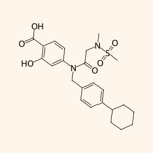 CN(CC(=O)N(Cc1ccc(C2CCCCC2)cc1)c1ccc(C(=O)O)c(O)c1)S(C)(=O)=O